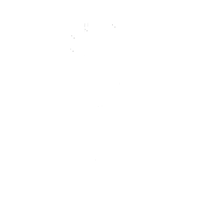 C/N=C/c1[nH]nnc1-c1ccc(Oc2cccc(C(F)(F)F)c2)c(Cl)c1